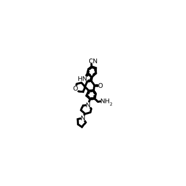 N#Cc1ccc2c3c([nH]c2c1)C1(CCOCC1)c1cc(N2CCC(N4CCCC4)CC2)c(CN)cc1C3=O